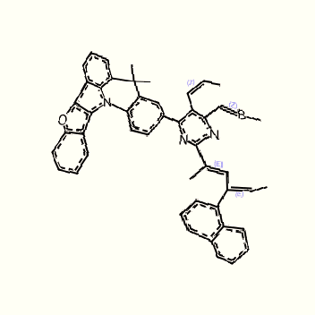 C/B=C\c1nc(/C(C)=C/C(=C\C)c2cccc3ccccc23)nc(-c2ccc3c(c2)C(C)(C)c2cccc4c5oc6ccccc6c5n-3c24)c1/C=C\C